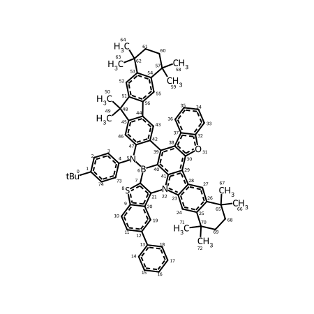 CC(C)(C)c1ccc(N2B3c4sc5ccc(-c6ccccc6)cc5c4-n4c5cc6c(cc5c5c7oc8ccccc8c7c(c3c54)-c3cc4c(cc32)C(C)(C)c2cc3c(cc2-4)C(C)(C)CCC3(C)C)C(C)(C)CCC6(C)C)cc1